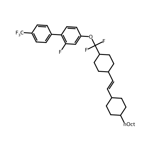 CCCCCCCCC1CCC(/C=C/C2CCC(C(F)(F)Oc3ccc(-c4ccc(C(F)(F)F)cc4)c(F)c3)CC2)CC1